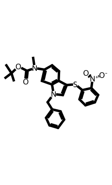 CN(C(=O)OC(C)(C)C)c1ccc2c(Sc3ccccc3[N+](=O)[O-])cn(Cc3ccccc3)c2c1